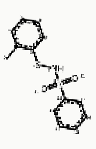 Cc1ccccc1SNS(=O)(=O)c1ccccc1